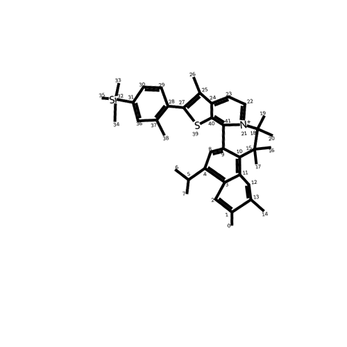 Cc1cc2c(C(C)C)cc3c(c2cc1C)C(C)(C)C(C)(C)[n+]1ccc2c(C)c(-c4ccc([Si](C)(C)C)cc4C)sc2c1-3